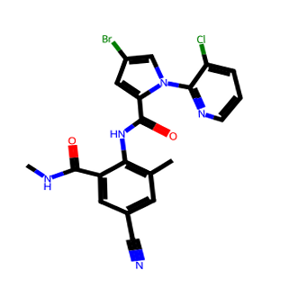 CNC(=O)c1cc(C#N)cc(C)c1NC(=O)c1cc(Br)cn1-c1ncccc1Cl